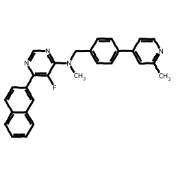 Cc1cc(-c2ccc(CN(C)c3ncnc(-c4ccc5ccccc5c4)c3F)cc2)ccn1